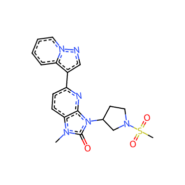 Cn1c(=O)n(C2CCN(S(C)(=O)=O)C2)c2nc(-c3cnn4ccccc34)ccc21